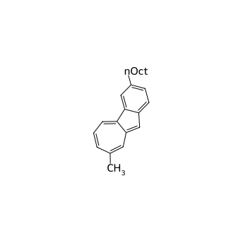 CCCCCCCCc1ccc2cc3cc(C)cccc-3c2c1